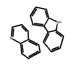 c1ccc2c(c1)[nH]c1ccccc12.c1ccc2ncccc2c1